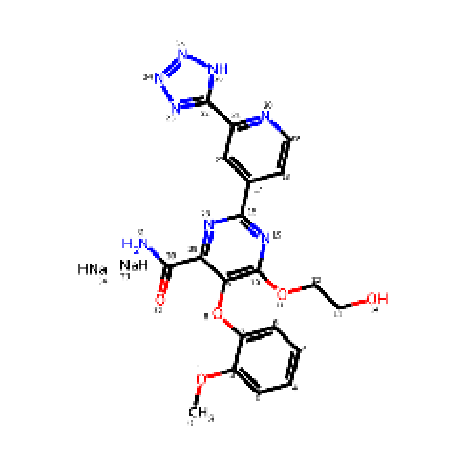 COc1ccccc1Oc1c(OCCO)nc(-c2ccnc(-c3nnn[nH]3)c2)nc1C(N)=O.[NaH].[NaH]